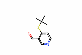 CC(C)(C)Sc1ccncc1C=O